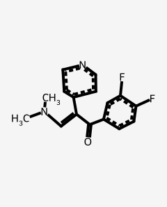 CN(C)/C=C(/C(=O)c1ccc(F)c(F)c1)c1ccncc1